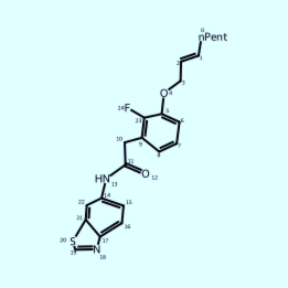 CCCCC/C=C/COc1cccc(CC(=O)Nc2ccc3ncsc3c2)c1F